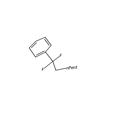 CCCCCCC(F)(F)c1ccccc1